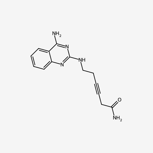 NC(=O)CC#CCCNc1nc(N)c2ccccc2n1